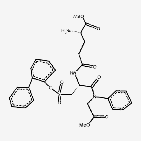 COC(=O)CN(C(=O)[C@H](CS(=O)(=O)Cc1ccccc1-c1ccccc1)NC(=O)CC[C@H](N)C(=O)OC)c1ccccc1